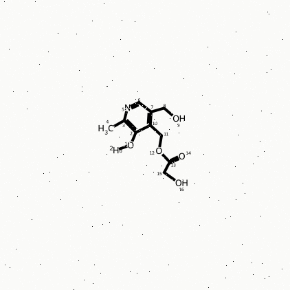 [2H]Oc1c(C)ncc(CO)c1COC(=O)CO